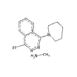 CCc1nnc(N2CCCCC2)c2ccccc12.CN